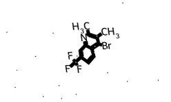 Cc1nc2cc(C(F)(F)F)ccc2c(Br)c1C